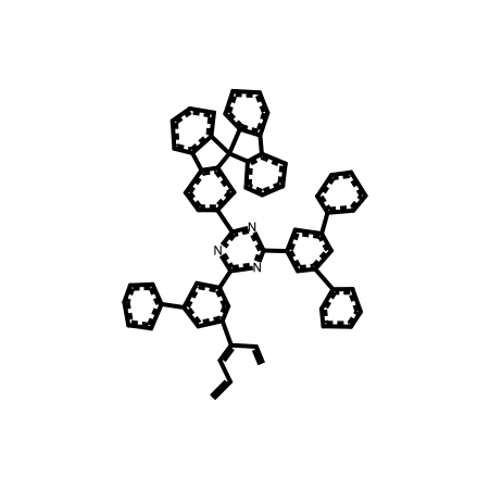 C=C/C=C(\C=C)c1cc(-c2ccccc2)cc(-c2nc(-c3cc(-c4ccccc4)cc(-c4ccccc4)c3)nc(-c3ccc4c(c3)C3(c5ccccc5-c5ccccc53)c3ccccc3-4)n2)c1